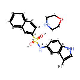 C1COCCN1.CCc1c[nH]c2ccc(NS(=O)(=O)c3ccc4ccccc4c3)cc12